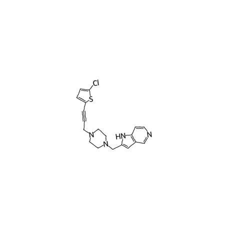 Clc1ccc(C#CCN2CCN(Cc3cc4cnccc4[nH]3)CC2)s1